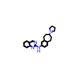 c1ccc2nc(Nc3ccc4c(c3)CCC(N3CCCC3)CC4)ncc2c1